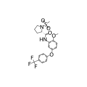 COc1ccc(Oc2ccc(C(F)(F)F)cc2)cc1NC(=O)[C@@H]1CCCN1S(C)(=O)=O